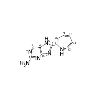 Nc1ncc2[nH]c(C3=CC=CC=CN3)nc2n1